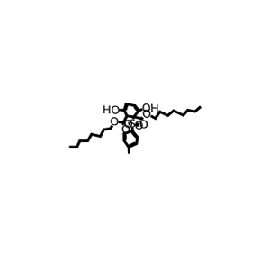 CCCCCCCCOC(=O)C1C(O)=CC=C(O)C1(C(=O)OCCCCCCCC)S(=O)(=O)c1ccc(C)cc1